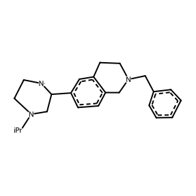 CC(C)N1CC[N]C(c2ccc3c(c2)CCN(Cc2ccccc2)C3)C1